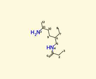 C=C(CC)NCC(CC)CCC(C)N